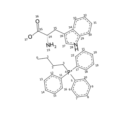 CCCC[P+](c1ccccc1)(c1ccccc1)c1ccccc1.N[C@@H](Cc1c[nH]c2ccccc12)C(=O)[O-]